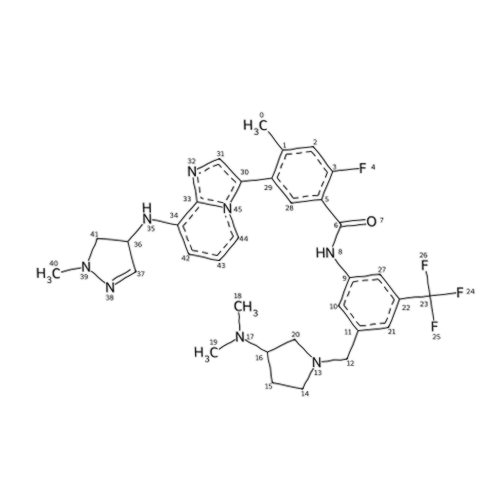 Cc1cc(F)c(C(=O)Nc2cc(CN3CCC(N(C)C)C3)cc(C(F)(F)F)c2)cc1-c1cnc2c(NC3C=NN(C)C3)cccn12